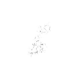 Cc1ccc(C)c(C(=O)NCc2ccc(-n3nc(C(C)C(F)(F)F)c4c(=O)[nH]nc(N)c43)cc2)c1